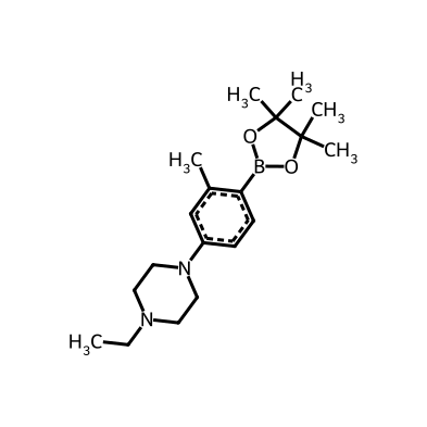 CCN1CCN(c2ccc(B3OC(C)(C)C(C)(C)O3)c(C)c2)CC1